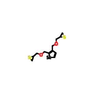 c1cc(COCC2CS2)c(COCC2CS2)[se]1